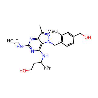 CCCC(CCO)Nc1nc(NC(=O)O)nc2c(C)nn(Cc3ccc(CO)cc3OC)c12